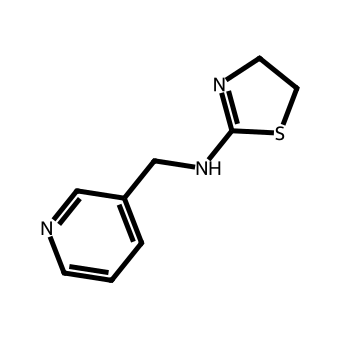 c1cncc(CNC2=NCCS2)c1